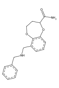 NC(=O)C1CCOc2c(CNCc3ccccc3)c[c]cc2O1